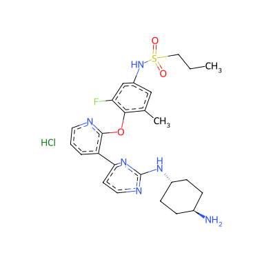 CCCS(=O)(=O)Nc1cc(C)c(Oc2ncccc2-c2ccnc(N[C@H]3CC[C@H](N)CC3)n2)c(F)c1.Cl